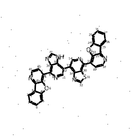 c1ccc2c(c1)oc1c(-c3ncc(-c4cnc(-c5ccnc6c5oc5ccccc56)c5scnc45)c4[nH]cnc34)ccnc12